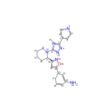 Cn1c(-c2ccncc2)nnc1N1CCCC[C@@H]1c1cc(C2C=C(N)C=CC2)on1